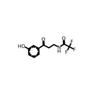 O=C(CCNC(=O)C(F)(F)F)c1cccc(O)c1